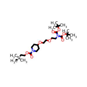 CC(C)(C)OC(=O)N(CCOCCOC1CCN(C(=O)OCC[Si](C)(C)C)CC1)C(=O)OC(C)(C)C